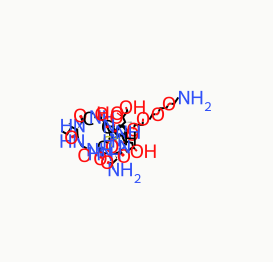 CC[C@H](C)[C@@H]1NC(=O)CNC(=O)C2Cc3c([nH]c4cc(OCCOCCOCCOCCN)ccc34)[S@+]([O-])CC(NC(=O)CNC1=O)C(=O)N[C@@H](CC(N)=O)C(=O)N1CC(O)C[C@H]1C(=O)N[C@@H]([C@@H](C)[C@@H](O)CO)C(=O)N2